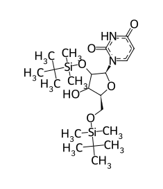 CC(C)(C)[Si](C)(C)OC[C@@H]1O[C@H](n2ccc(=O)[nH]c2=O)C(O[Si](C)(C)C(C)(C)C)C1O